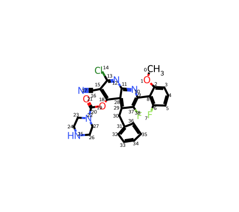 COc1cccc(F)c1-c1nc2nc(Cl)c(C#N)c(OC(=O)N3CCNCC3)c2c(Cc2ccccc2)c1F